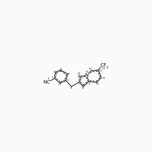 N#Cc1cccc(Cc2cc3ccc(C(F)(F)F)cn3n2)c1